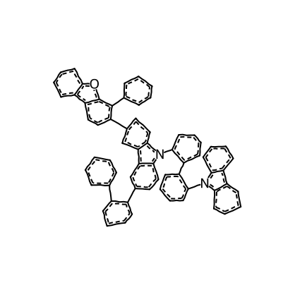 c1ccc(-c2ccccc2-c2ccc3c(c2)c2cc(-c4ccc5c(oc6ccccc65)c4-c4ccccc4)ccc2n3-c2ccccc2-c2ccccc2-n2c3ccccc3c3ccccc32)cc1